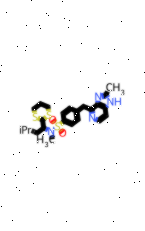 Cc1nc2c(Cc3ccc(S(=O)(=O)N(C)C(CC(C)C)C4SCCCS4)cc3)nccc2[nH]1